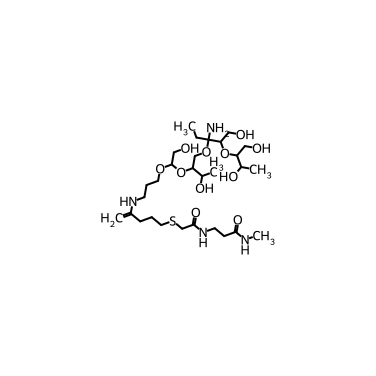 C=C(CCCSCC(=O)NCCC(=O)NC)NCCCOC(CO)OC(COC(N)(CC)C(CO)OC(CO)C(C)O)C(C)O